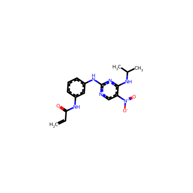 C=CC(=O)Nc1cccc(Nc2ncc([N+](=O)[O-])c(NC(C)C)n2)c1